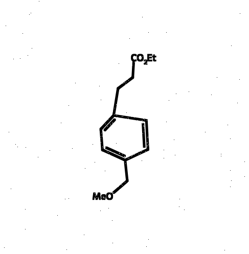 CCOC(=O)CCc1ccc(COC)cc1